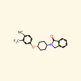 N#Cc1ccc(O[C@H]2CC[C@H](N3Cc4ccccc4C3=O)CC2)cc1C(F)(F)F